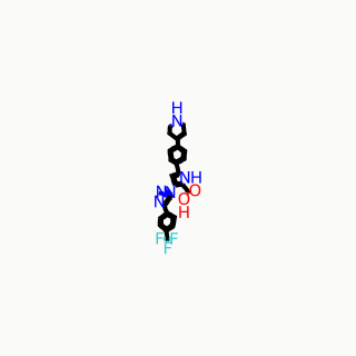 O=C(O)c1[nH]c(-c2ccc(C3=CCNCC3)cc2)cc1-n1cc(-c2ccc(C(F)(F)F)cc2)nn1